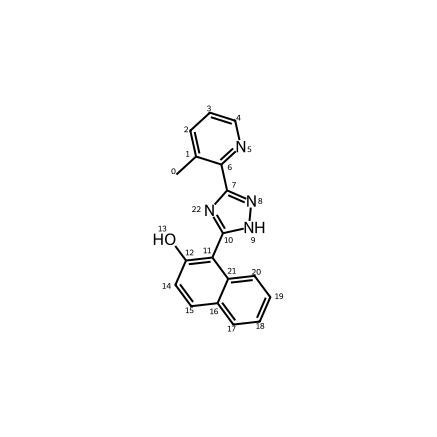 Cc1cccnc1-c1n[nH]c(-c2c(O)ccc3ccccc23)n1